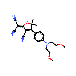 COCCN(CCOC)c1ccc(C2=C(C#N)C(=C(C#N)C#N)OC2(C)C)cc1